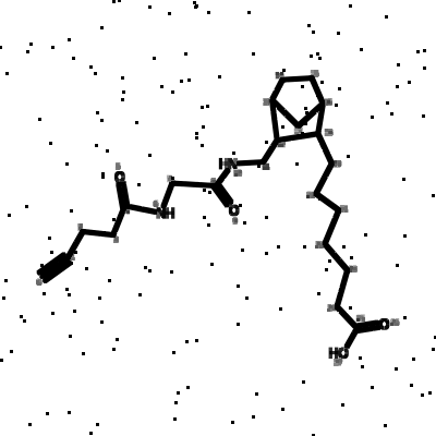 C#CCCC(=O)NCC(=O)NCC1C2CCC(C2)C1CCCCCCC(=O)O